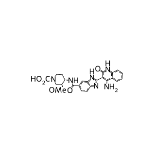 CO[C@H]1CN(C(=O)O)CC[C@H]1NC(=O)c1ccc2nc(-c3c(N)c4ccccc4[nH]c3=O)[nH]c2c1